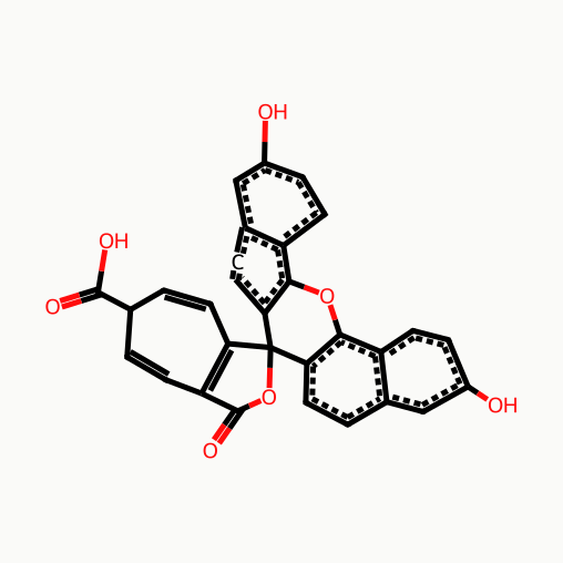 O=C1OC2(C3=C1C=CC(C(=O)O)C=C3)c1ccc3cc(O)ccc3c1Oc1c2ccc2cc(O)ccc12